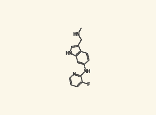 CNCc1c[nH]c2cc(Nc3ncccc3F)ccc12